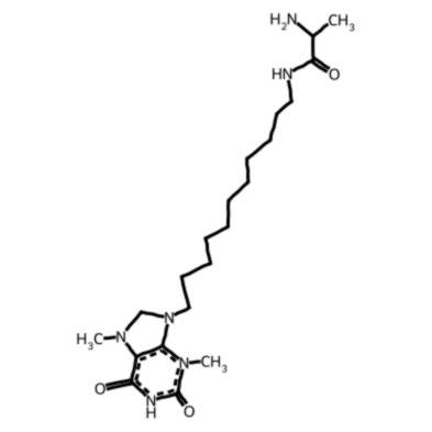 CC(N)C(=O)NCCCCCCCCCCCN1CN(C)c2c1n(C)c(=O)[nH]c2=O